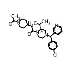 CC(=O)N1CCC(CC(=O)N2CCN(C(c3ccc(Cl)cc3)c3cccnc3)C[C@@H]2C(C)C)CC1